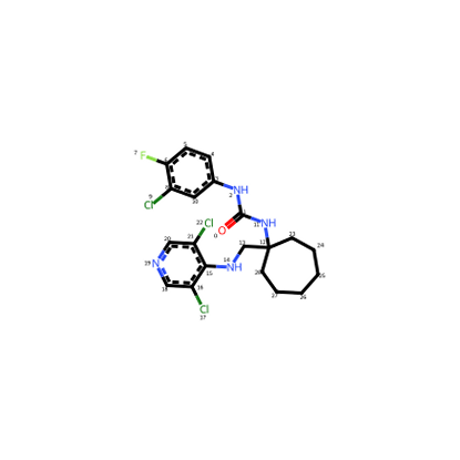 O=C(Nc1ccc(F)c(Cl)c1)NC1(CNc2c(Cl)cncc2Cl)CCCCCC1